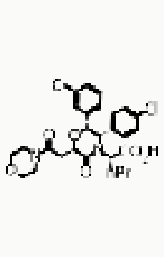 CCC[C@H](C(=O)O)N1C(=O)[C@@H](CC(=O)N2CCOCC2)O[C@H](c2cccc(Cl)c2)[C@@H]1c1ccc(Cl)cc1